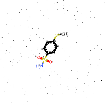 CSc1ccc(S(N)(=O)=O)cc1